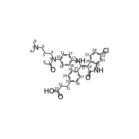 CC(=O)N(CCCN(C)C)c1ccc(NC(=C2C(=O)Nc3cc(Cl)ccc32)c2ccc(CCC(=O)O)cc2)cc1